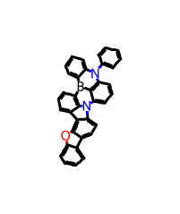 c1ccc(N2c3ccccc3B3c4c2cccc4-n2c4ccc5c6ccccc6oc5c4c4cccc3c42)cc1